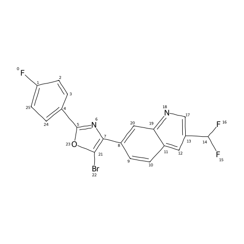 Fc1ccc(-c2nc(-c3ccc4cc(C(F)F)cnc4c3)c(Br)o2)cc1